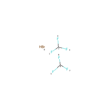 Br.FC(F)F.FC(F)F